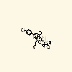 CCCCCc1nc(-c2ccc(Cl)cc2)cc(=O)n1CC(=O)NC1(C(=O)O)CC1